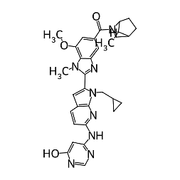 COc1cc(C(=O)N2CC3CCC2[C@@H]3C)cc2nc(-c3cc4ccc(Nc5cc(O)ncn5)nc4n3CC3CC3)n(C)c12